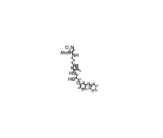 CN/C(=C\[N+](=O)[O-])NCCCc1nc(NCC(O)COc2cccc(CN3CCCCC3)c2)n(C)n1